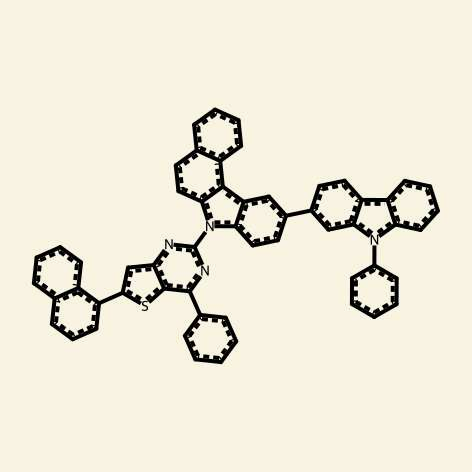 c1ccc(-c2nc(-n3c4ccc(-c5ccc6c7ccccc7n(-c7ccccc7)c6c5)cc4c4c5ccccc5ccc43)nc3cc(-c4cccc5ccccc45)sc23)cc1